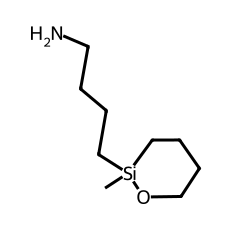 C[Si]1(CCCCN)CCCCO1